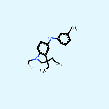 CCN1CC(CC)(CC)c2cc(Nc3cccc(C)c3)ccc21